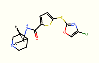 O=C(N[C@H]1CN2CCC1CC2)c1ccc(Sc2nc(Cl)co2)s1